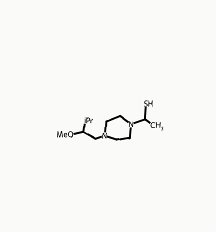 COC(CN1CCN(C(C)S)CC1)C(C)C